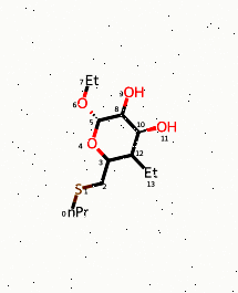 CCCSCC1O[C@H](OCC)C(O)[C@@H](O)C1CC